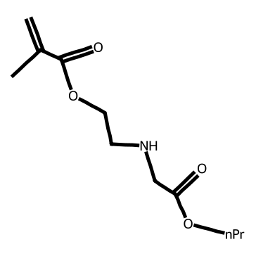 C=C(C)C(=O)OCCNCC(=O)OCCC